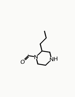 CCCC1CNCCN1[C]=O